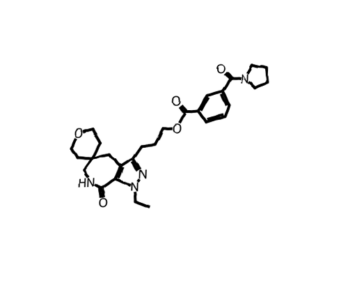 CCn1nc(CCCOC(=O)c2cccc(C(=O)N3CCCC3)c2)c2c1C(=O)NCC1(CCOCC1)C2